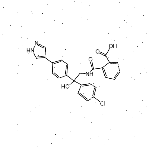 O=C(O)c1ccccc1C(=O)NCC(O)(c1ccc(Cl)cc1)c1ccc(-c2cn[nH]c2)cc1